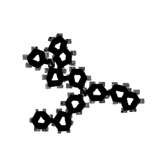 c1ccc(-c2cccc(-c3ccc(N(c4ccc(-c5ccc6ccccc6c5)cc4)c4cccc(-c5cccc6c5c5ccc7ccccc7c5n6-c5ccccc5)c4)cc3)c2)cc1